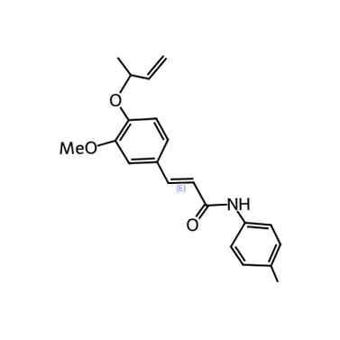 C=CC(C)Oc1ccc(/C=C/C(=O)Nc2ccc(C)cc2)cc1OC